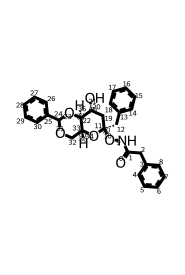 O=C(Cc1ccccc1)NO[C@]1(Cc2ccccc2)C[C@@H](O)[C@@H]2OC(c3ccccc3)OC[C@H]2O1